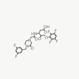 O=C(O)CC(NC(=O)CN1CCN(Cc2cc(F)cc(F)c2)C(=O)C1)C(=O)COc1c(F)c(F)cc(F)c1F